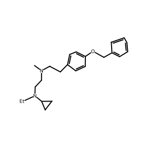 CCN(CCN(C)CCc1ccc(OCc2ccccc2)cc1)C1CC1